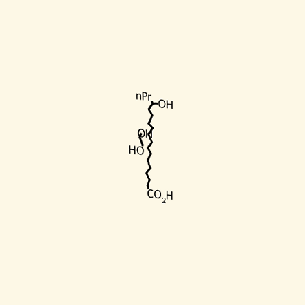 CCCC(O)CCCCCCCCCCCCCC(=O)O.OCCO